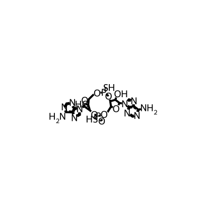 Nc1ncnc2c1ncn2C1OC2COP(=O)(S)OC3C(O)C(COP(S)OC2C1O)OC3n1cnc2c(N)ncnc21